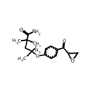 CC(C)(CC(C)(C)C(N)=O)Oc1ccc(C(=O)C2CO2)cc1